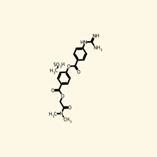 CN(C)C(=O)COC(=O)c1ccc(OC(=O)c2ccc(NC(=N)N)cc2)cc1.CS(=O)(=O)O